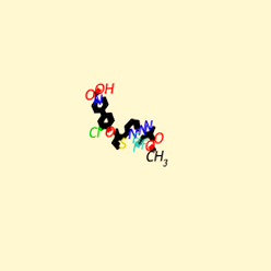 CCOC(=O)c1cnn(-c2cccc(-c3sccc3COc3ccc(C4CCN(C(=O)O)CC4)cc3Cl)n2)c1C(F)(F)F